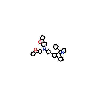 c1ccc(-c2c3c4cc(-c5ccc(N(c6ccc7c(c6)oc6ccccc67)c6ccc7c(c6)oc6ccccc67)cc5)ccc4c4ccccc4c3n3ccccc23)cc1